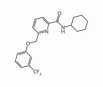 O=C(NC1CCCCC1)c1cccc(COc2cccc(C(F)(F)F)c2)n1